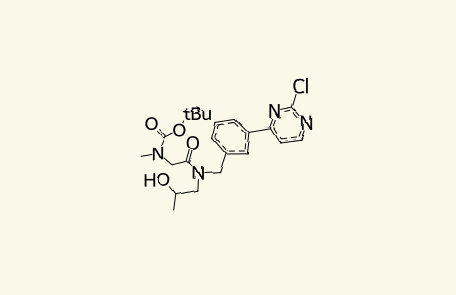 CC(O)CN(Cc1cccc(-c2ccnc(Cl)n2)c1)C(=O)CN(C)C(=O)OC(C)(C)C